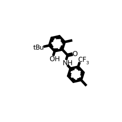 Cc1ccc(NC(=O)c2c(C)ccc(C(C)(C)C)c2O)c(C(F)(F)F)c1